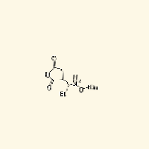 CCC([SiH2]OC(C)(C)C)C1CC(=O)OC1=O